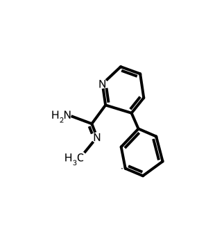 CN=C(N)c1ncccc1-c1c[c]ccc1